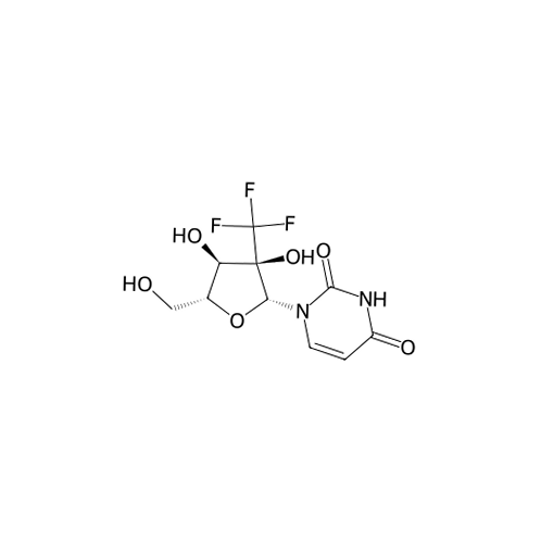 O=c1ccn([C@@H]2O[C@H](CO)[C@@H](O)[C@]2(O)C(F)(F)F)c(=O)[nH]1